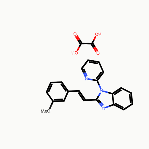 COc1cccc(C=Cc2nc3ccccc3n2-c2ccccn2)c1.O=C(O)C(=O)O